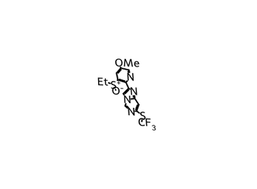 CC[S+]([O-])c1cc(OC)cnc1-c1cn2cnc(SC(F)(F)F)cc2n1